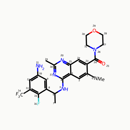 CNc1cc2c(NC(C)c3cc(N)cc(C(F)(F)F)c3F)nc(C)nc2cc1C(=O)N1CCOCC1